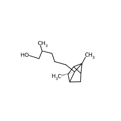 CC(CO)CCC[C@]1(C)C2CC3C(C2)C31C